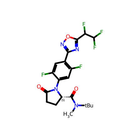 CN(C(=O)[C@@H]1CCC(=O)N1c1cc(F)c(-c2noc(C(F)C(F)F)n2)cc1F)C(C)(C)C